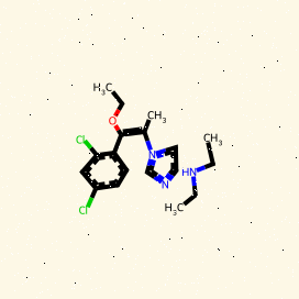 CCNCC.CCOC(=C(C)n1ccnc1)c1ccc(Cl)cc1Cl